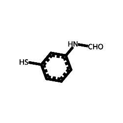 O=CNc1cccc(S)c1